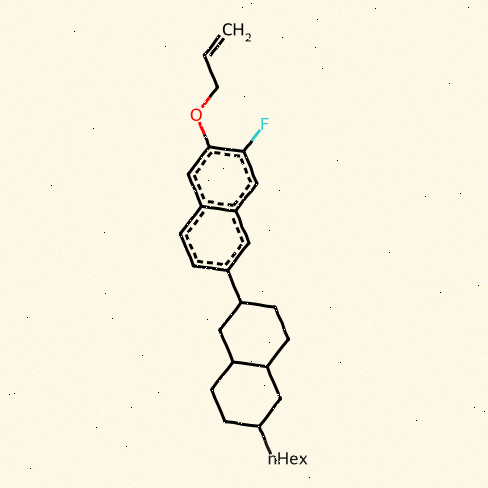 C=CCOc1cc2ccc(C3CCC4CC(CCCCCC)CCC4C3)cc2cc1F